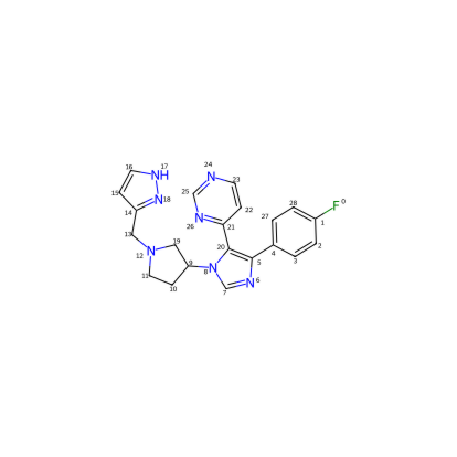 Fc1ccc(-c2ncn(C3CCN(Cc4cc[nH]n4)C3)c2-c2ccncn2)cc1